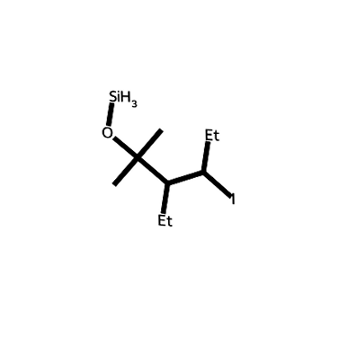 CCC(I)C(CC)C(C)(C)O[SiH3]